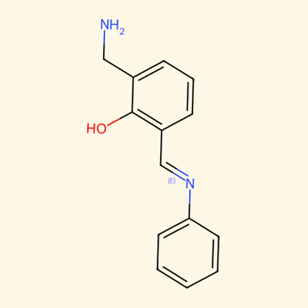 NCc1cccc(/C=N/c2ccccc2)c1O